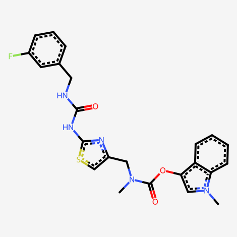 CN(Cc1csc(NC(=O)NCc2cccc(F)c2)n1)C(=O)Oc1cn(C)c2ccccc12